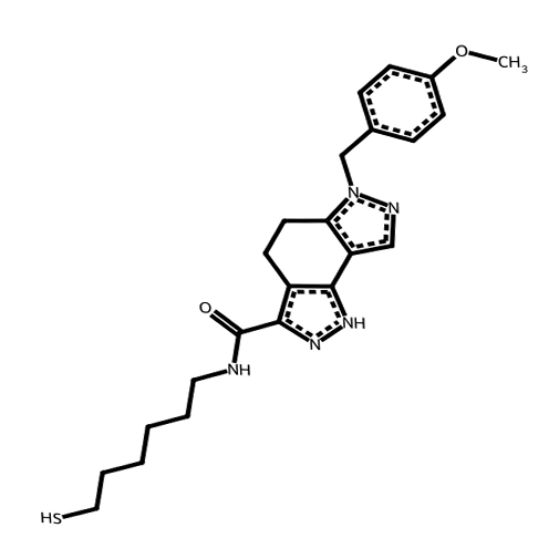 COc1ccc(Cn2ncc3c2CCc2c(C(=O)NCCCCCCS)n[nH]c2-3)cc1